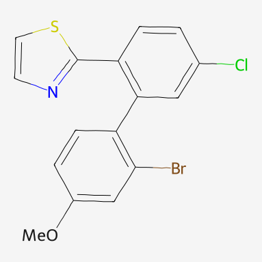 COc1ccc(-c2cc(Cl)ccc2-c2nccs2)c(Br)c1